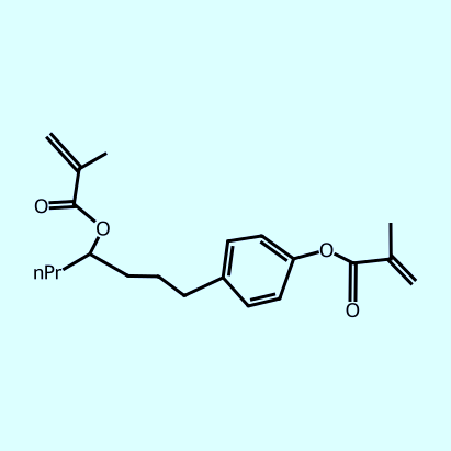 C=C(C)C(=O)Oc1ccc(CCCC(CCC)OC(=O)C(=C)C)cc1